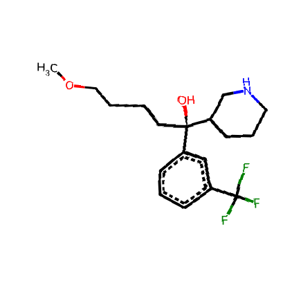 COCCCC[C@@](O)(c1cccc(C(F)(F)F)c1)C1CCCNC1